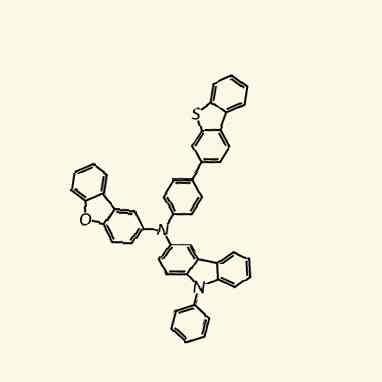 c1ccc(-n2c3ccccc3c3cc(N(c4ccc(-c5ccc6c(c5)sc5ccccc56)cc4)c4ccc5oc6ccccc6c5c4)ccc32)cc1